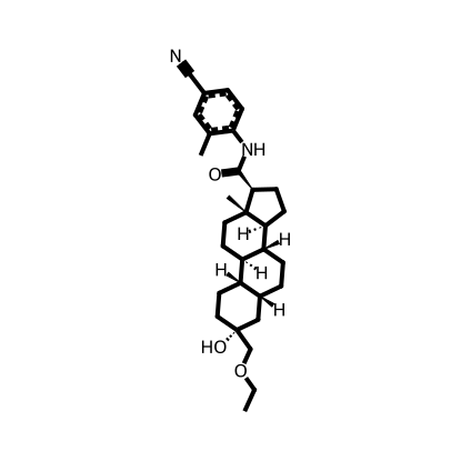 CCOC[C@@]1(O)CC[C@H]2[C@H](CC[C@@H]3[C@@H]2CC[C@]2(C)[C@@H](C(=O)Nc4ccc(C#N)cc4C)CC[C@@H]32)C1